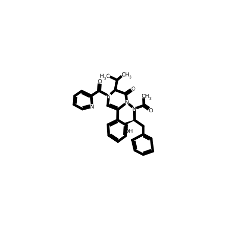 CC(=O)N([C@H](CO)Cc1ccccc1)N1C(=O)C(C(C)C)N(C(=O)c2ccccn2)C=C1c1ccccc1